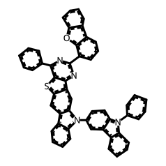 c1ccc(-c2nc(-c3cccc4c3oc3ccccc34)nc3c2sc2cc4c5ccccc5n(-c5ccc6c(c5)c5ccccc5n6-c5ccccc5)c4cc23)cc1